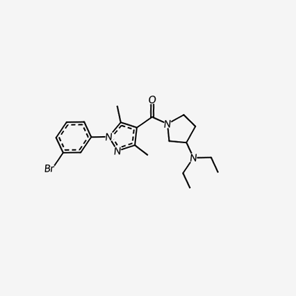 CCN(CC)C1CCN(C(=O)c2c(C)nn(-c3cccc(Br)c3)c2C)C1